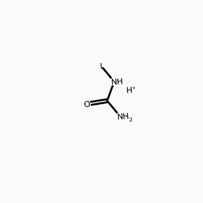 NC(=O)NI.[H+]